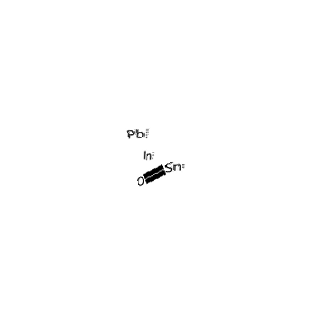 [In].[O]=[Sn].[Pb]